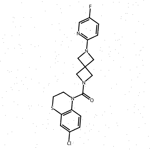 O=C(N1CC2(C1)CN(c1ccc(F)cn1)C2)N1CCSc2cc(Cl)ccc21